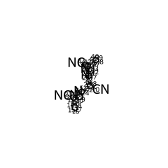 N#Cc1cc(-c2cnc3c(ccc4c(-c5ccccc5)cc(C#N)nc43)c2)cc(-c2cnc3c(ccc4c(-c5ccccc5)cc(C#N)nc43)c2)c1